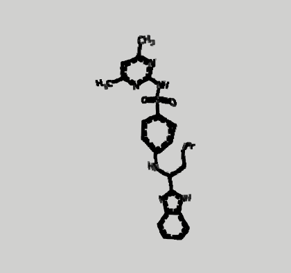 Cc1cc(C)nc(NS(=O)(=O)c2ccc(NC(CC(C)C)c3nc4ccccc4[nH]3)cc2)n1